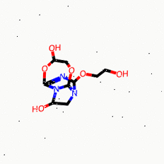 O[CH]COC1N=C2OC(O)COC3N1CC(O)N23